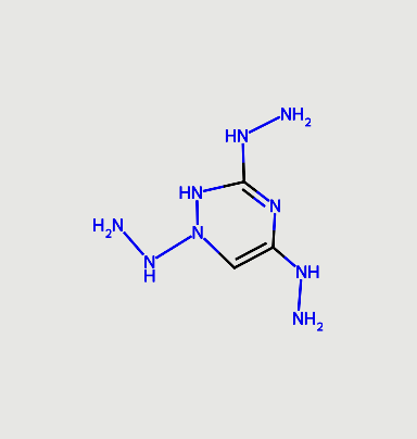 NNC1=CN(NN)NC(NN)=N1